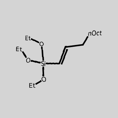 CCCCCCCCCC=C[Si](OCC)(OCC)OCC